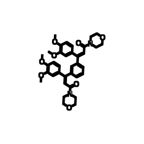 COc1ccc(C(=CC(=O)N2CCOCC2)c2cccc(C(=CC(=O)N3CCOCC3)c3ccc(OC)c(OC)c3)c2)cc1OC